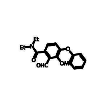 CCN(CC)C(=O)c1ccc(Oc2ccccc2)c(OC)c1C=O